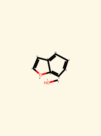 CO.c1ccc2occc2c1